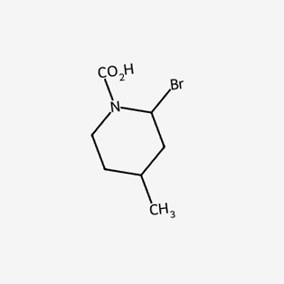 CC1CCN(C(=O)O)C(Br)C1